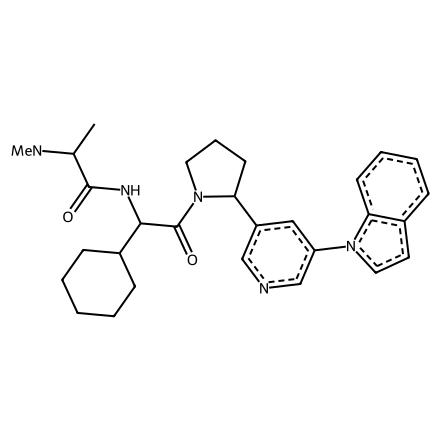 CNC(C)C(=O)NC(C(=O)N1CCCC1c1cncc(-n2ccc3ccccc32)c1)C1CCCCC1